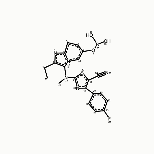 CCc1nc2ccc(OB(O)O)cn2c1N(C)c1nc(-c2ccc(F)cc2)c(C#N)s1